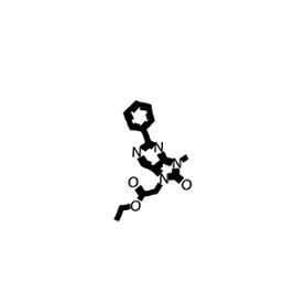 CCOC(=O)Cn1c(=O)n(C)c2nc(-c3ccccc3)ncc21